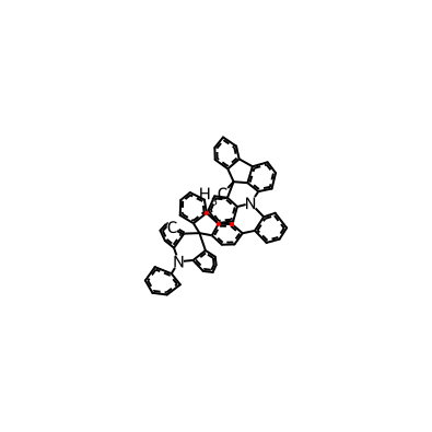 CC12c3ccccc3-c3cccc(c31)N(c1ccccc1-c1ccc3c(c1)-c1ccccc1C31c3ccccc3N(c3ccccc3)c3ccccc31)c1ccccc12